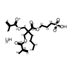 C=C(C)C(=O)OCC(CCCC)(COC(=O)C(=C)C)C(=O)OCCCS(=O)(=O)O.[LiH]